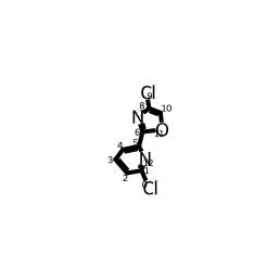 Clc1cccc(-c2nc(Cl)co2)n1